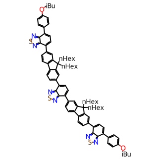 CCCCCCC1(CCCCCC)c2cc(-c3ccc(-c4ccc(OC(C)CC)cc4)c4nsnc34)ccc2-c2ccc(-c3ccc(-c4ccc5c(c4)C(CCCCCC)(CCCCCC)c4cc(-c6ccc(-c7ccc(OC(C)CC)cc7)c7nsnc67)ccc4-5)c4nsnc34)cc21